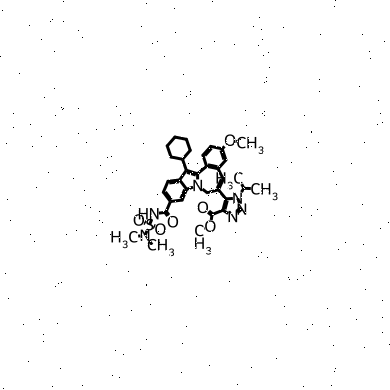 COC(=O)c1nnn(C(C)C)c1C1=Cc2cc(OC)ccc2-c2c(C3CCCCC3)c3ccc(C(=O)NS(=O)(=O)N(C)C)cc3n2C1